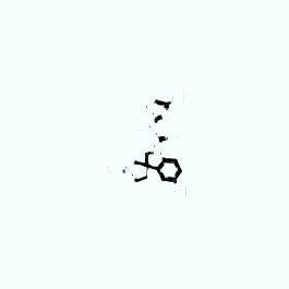 CC(=O)N1CC[C@@]2(C1)CN(C(=O)Nc1ncc(Cl)s1)c1ccc(Cl)cc12